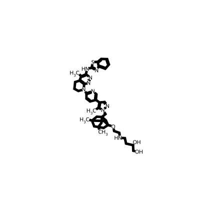 Cc1c(Nc2nc3ccccc3s2)nnc2c1CCCN2c1ccc(-c2cnn(CC34CC5(C)CC(C)(C3)CC(OCCNCC[C@@H](O)CO)(C5)C4)c2C)cn1